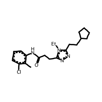 CCn1c(CCC(=O)Nc2cccc(Cl)c2C)nnc1CCC1CCCC1